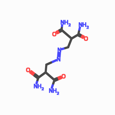 NC(=O)C(CN=NCC(C(N)=O)C(N)=O)C(N)=O